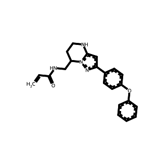 C=CC(=O)NCC1CCNc2cc(-c3ccc(Oc4ccccc4)cc3)nn21